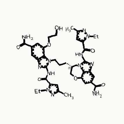 CCn1nc(C)cc1C(=O)Nc1nc2cc(C(N)=O)cc(OCCO)c2n1CCC[C@H]1COc2cc(C(N)=O)cc3nc(NC(=O)c4cc(C)nn4CC)n1c23